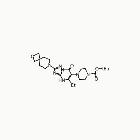 CCc1[nH]c2nc(N3CCC4(CC3)COC4)nn2c(=O)c1N1CCN(C(=O)OC(C)(C)C)CC1